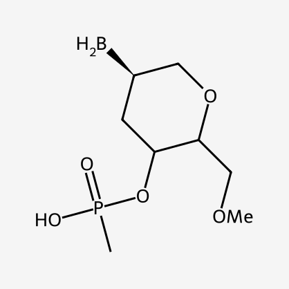 B[C@H]1COC(COC)C(OP(C)(=O)O)C1